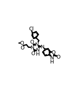 COC(=O)CCn1c(=O)[nH]/c(=N\c2ccc3[nH]c(=O)oc3c2)n(Cc2ccc(Cl)cc2)c1=O